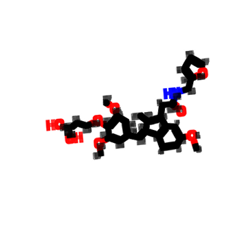 COc1ccc2c(c1)C(CC(=O)NCc1ccco1)=C(C)C2=Cc1cc(OC)c(OCCB(O)O)c(OC)c1